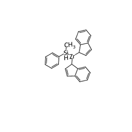 C[SiH](c1ccccc1)[Zr]([CH]1C=Cc2ccccc21)[CH]1C=Cc2ccccc21